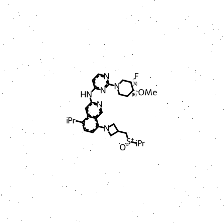 CO[C@@H]1CCN(c2nccc(Nc3cc4c(C(C)C)ccc(N5CC(C[S+]([O-])C(C)C)C5)c4cn3)n2)C[C@@H]1F